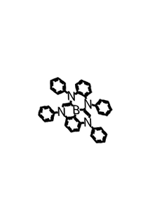 C1=C2B3C(=CN(c4ccccc4)c4cccc(c43)N1c1ccccc1)N(c1ccccc1)c1ccccc1N2c1ccccc1